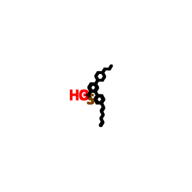 C=CCCC=Cc1ccc(-c2cc(C3CCC(CCC)CC3)ccc2C(O)=S)cc1